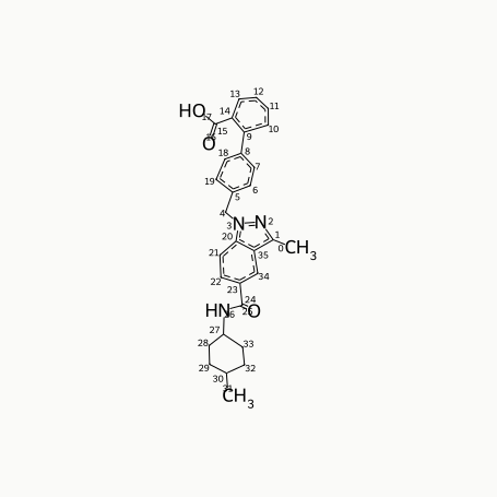 Cc1nn(Cc2ccc(-c3ccccc3C(=O)O)cc2)c2ccc(C(=O)NC3CCC(C)CC3)cc12